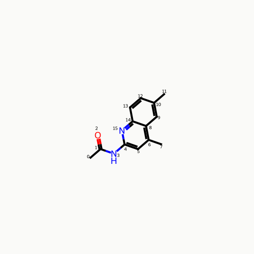 CC(=O)Nc1cc(C)c2cc(C)ccc2n1